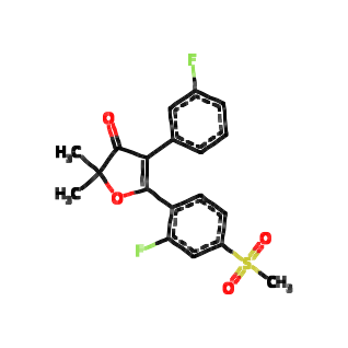 CC1(C)OC(c2ccc(S(C)(=O)=O)cc2F)=C(c2cccc(F)c2)C1=O